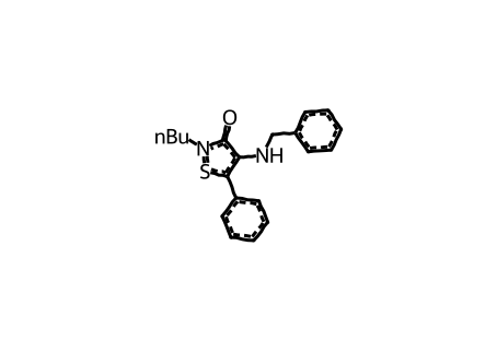 CCCCn1sc(-c2ccccc2)c(NCc2ccccc2)c1=O